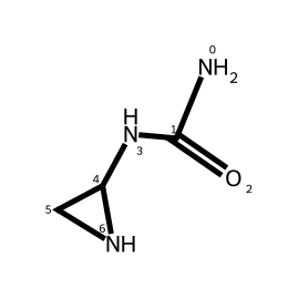 NC(=O)NC1CN1